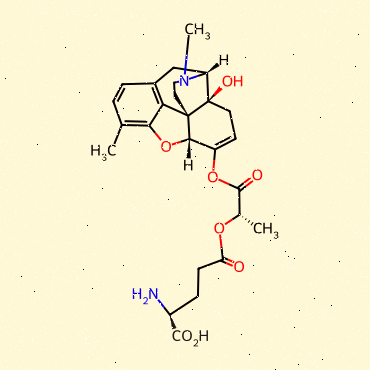 Cc1ccc2c3c1O[C@H]1C(OC(=O)[C@H](C)OC(=O)CC[C@H](N)C(=O)O)=CC[C@@]4(O)[C@@H](C2)N(C)CC[C@]314